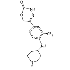 O=C1NN=C(c2ccc(NC3CCNCC3)c(C(F)(F)F)c2)CO1